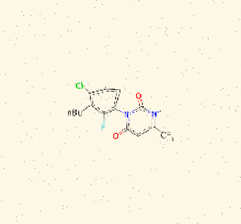 CCCCc1c(Cl)[c]cc(-n2c(=O)cc(C(F)(F)F)n(C)c2=O)c1F